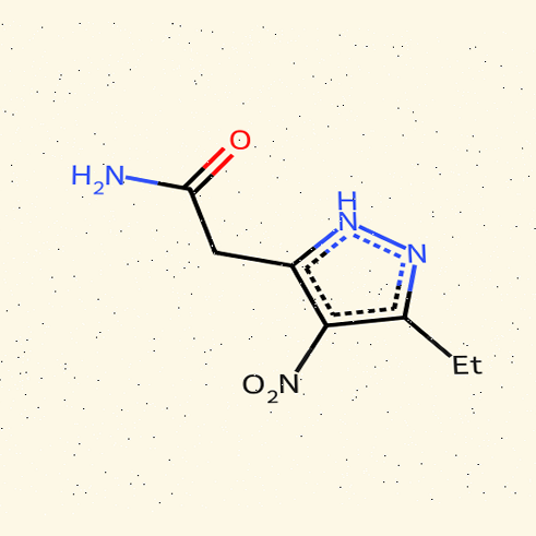 CCc1n[nH]c(CC(N)=O)c1[N+](=O)[O-]